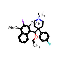 C=COC(c1c(OC)c(I)c(OC)c2ccccc12)C1(c2ccc(F)cc2)CCN(C)CC1